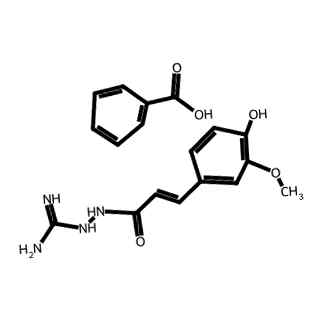 COc1cc(/C=C/C(=O)NNC(=N)N)ccc1O.O=C(O)c1ccccc1